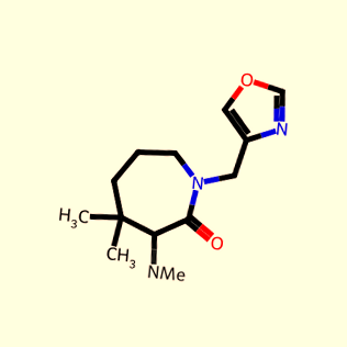 CNC1C(=O)N(Cc2cocn2)CCCC1(C)C